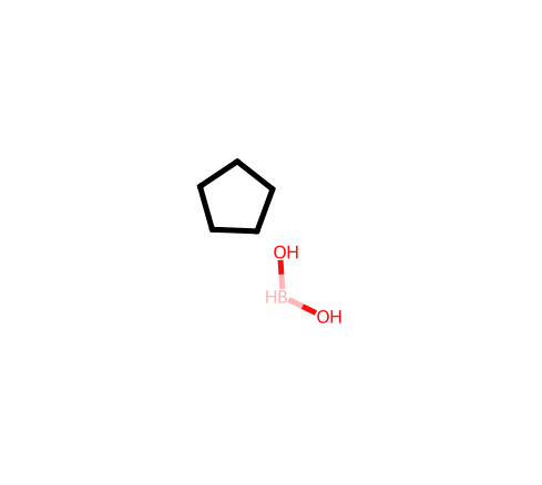 C1CCCC1.OBO